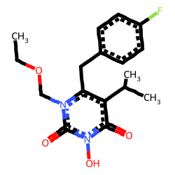 CCOCn1c(Cc2ccc(F)cc2)c(C(C)C)c(=O)n(O)c1=O